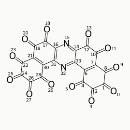 O=c1c(=O)c(=O)c2c(c1=O)c(=O)c(=O)c1nc3c(=O)c(=O)c4c(=O)c(=O)c(=O)c(=O)c4c3nc12